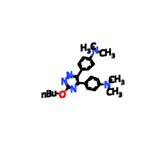 CCCCOc1nnc(-c2ccc(N(C)C)cc2)c(-c2ccc(N(C)C)cc2)n1